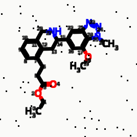 CCOC(=O)CCc1cccc2c1CC(c1cc(OC)c3c(c1)nnn3C)NC2